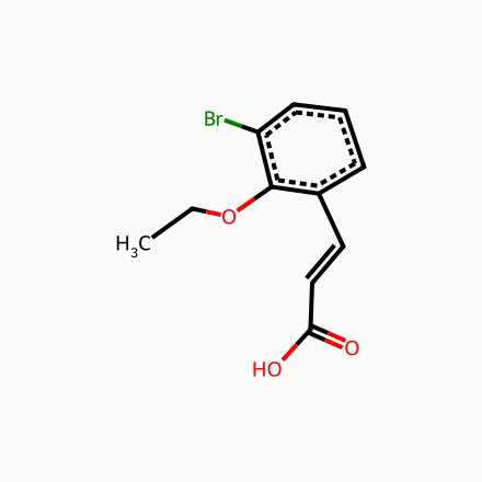 CCOc1c(Br)cccc1C=CC(=O)O